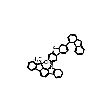 CC1(C)c2ccccc2-c2ccc3c4c(n(-c5ccc6c(c5)C5=CC=C(C7=CC=CC8Cc9ccccc9C78)CC5S6)c3c21)CCC=C4